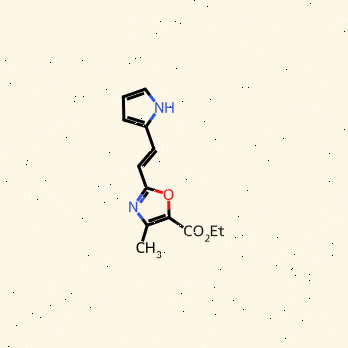 CCOC(=O)c1oc(C=Cc2ccc[nH]2)nc1C